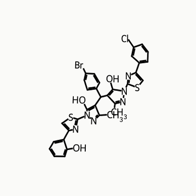 Cc1nn(-c2nc(-c3cccc(Cl)c3)cs2)c(O)c1C(c1ccc(Br)cc1)c1c(C)nn(-c2nc(-c3ccccc3O)cs2)c1O